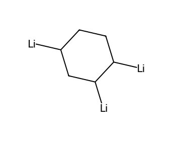 [Li][CH]1CC[CH]([Li])[CH]([Li])C1